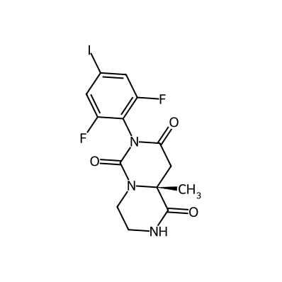 C[C@]12CC(=O)N(c3c(F)cc(I)cc3F)C(=O)N1CCNC2=O